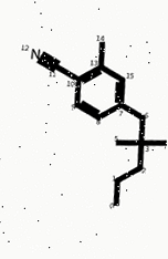 CCCC(C)(C)Cc1ccc(C#N)c(C)c1